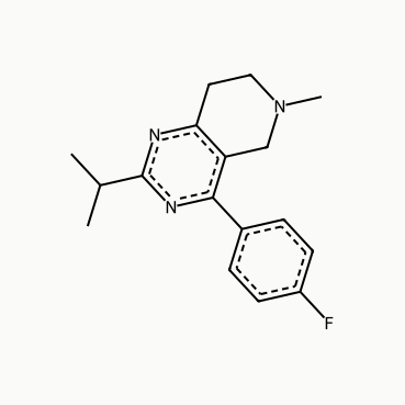 CC(C)c1nc2c(c(-c3ccc(F)cc3)n1)CN(C)CC2